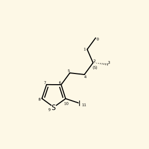 CC[C@H](C)CCc1ccsc1I